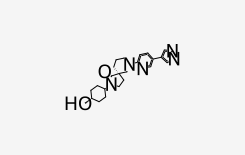 Cn1cc(-c2ccc(N3CCC[C@@]4(CCN([C@H]5CC[C@H](O)CC5)C4=O)C3)nc2)cn1